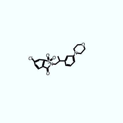 CC(CN1C(=O)c2ccc(Cl)cc2S1(=O)=O)c1cccc(N2CCOCC2)c1